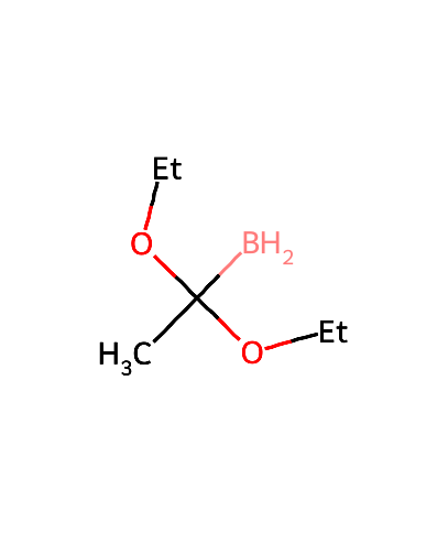 BC(C)(OCC)OCC